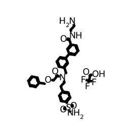 NCCNC(=O)c1cccc(-c2cccc(CN(CCc3ccc(S(N)(=O)=O)cc3)C(=O)COCc3ccccc3)c2)c1.O=C(O)C(F)(F)F